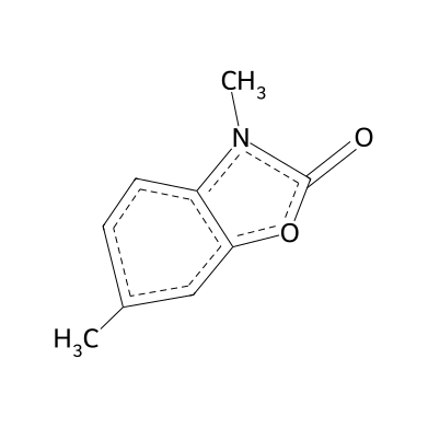 Cc1ccc2c(c1)oc(=O)n2C